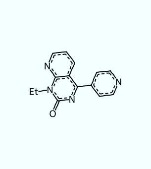 CCn1c(=O)nc(-c2ccncc2)c2cccnc21